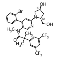 CN(C(=O)C(C)(C)c1cc(C(F)(F)F)cc(C(F)(F)F)c1)c1cnc(N2C[C@@H](O)C[C@H]2CO)cc1-c1ccccc1Br